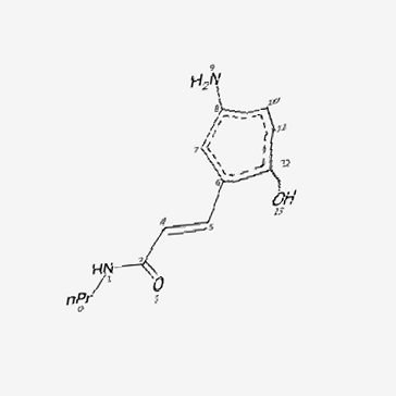 CCCNC(=O)/C=C/c1cc(N)ccc1O